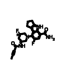 CC#CC(=O)N[C@H]1C[C@H](F)CN(c2c(F)cc(C(N)=O)c3[nH]c4c(c23)CCC4)C1